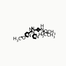 CCOc1ccc(-c2nnc(C34CC(NC(=O)OC(C)(C)C)(C3)C4)n2-c2cccnc2)nc1